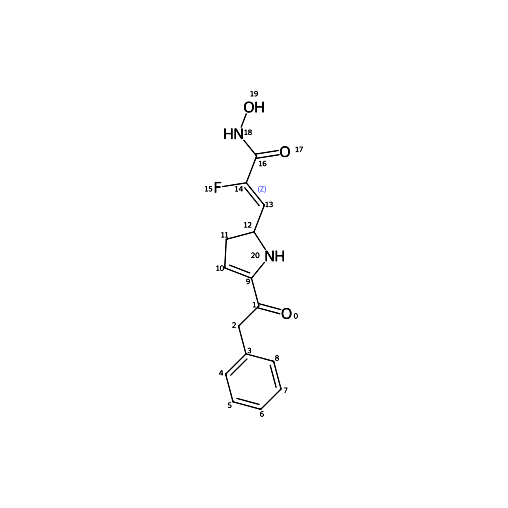 O=C(Cc1ccccc1)C1=CCC(/C=C(\F)C(=O)NO)N1